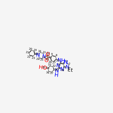 CCn1cnc2c(Nc3ccc(S(=O)(=O)N4CCN(c5ccccc5)CC4)cc3)nc(N[C@H]3CC[C@H](O)CC3)nc21